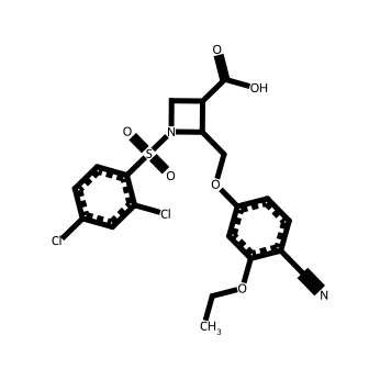 CCOc1cc(OCC2C(C(=O)O)CN2S(=O)(=O)c2ccc(Cl)cc2Cl)ccc1C#N